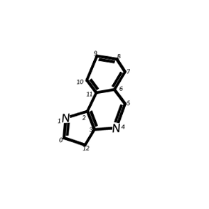 C1=Nc2c(ncc3ccccc23)C1